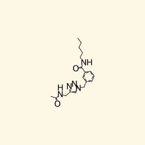 CCCCCNC(=O)c1cccc(Cn2cc(CNC(C)=O)nn2)c1